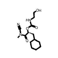 CN(C#N)C(=O)[C@H](CC1CCCCC1)OC(=O)NCCO